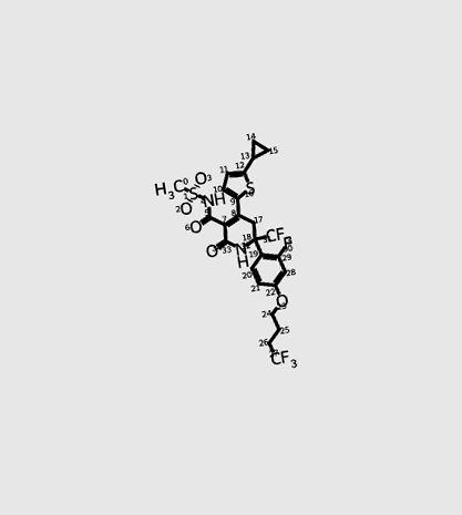 CS(=O)(=O)NC(=O)C1=C(c2ccc(C3CC3)s2)CC(c2ccc(OCCCC(F)(F)F)cc2F)(C(F)(F)F)NC1=O